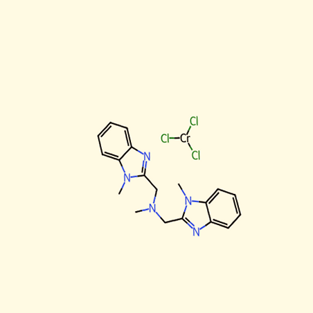 CN(Cc1nc2ccccc2n1C)Cc1nc2ccccc2n1C.[Cl][Cr]([Cl])[Cl]